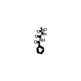 CS(=O)(=O)NC(=O)NC(=O)c1ccccc1